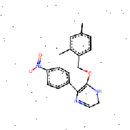 Cc1ccc(COC2=C(c3ccc([N+](=O)[O-])cc3)N=CCN2)c(C)c1